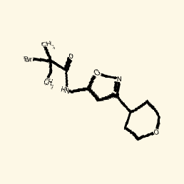 CC(C)(Br)C(=O)NC1CC(C2CCOCC2)=NO1